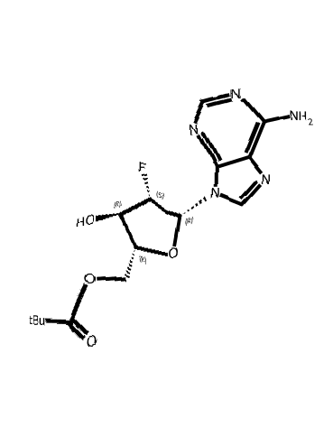 CC(C)(C)C(=O)OC[C@H]1O[C@@H](n2cnc3c(N)ncnc32)[C@@H](F)[C@@H]1O